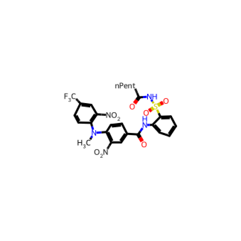 CCCCCC(=O)NS(=O)(=O)c1ccccc1NC(=O)c1ccc(N(C)c2ccc(C(F)(F)F)cc2[N+](=O)[O-])c([N+](=O)[O-])c1